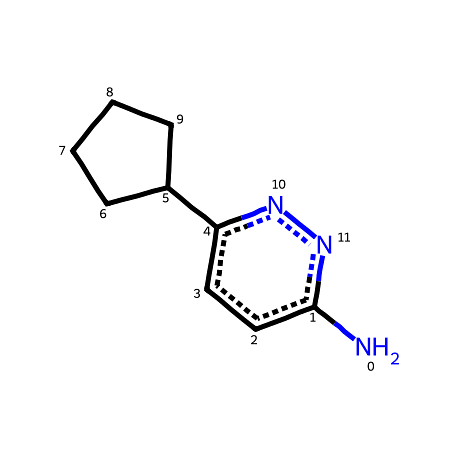 Nc1ccc(C2CCCC2)nn1